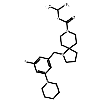 O=C(OC(C(F)(F)F)C(F)(F)F)N1CCC2(CCCN2Cc2cc(F)cc(N3CCCCC3)c2)CC1